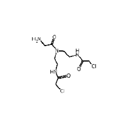 NCC(=O)N(CCNC(=O)CCl)CCNC(=O)CCl